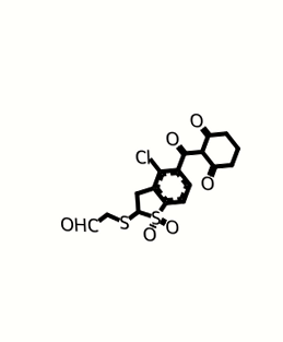 O=CCSC1Cc2c(ccc(C(=O)C3C(=O)CCCC3=O)c2Cl)S1(=O)=O